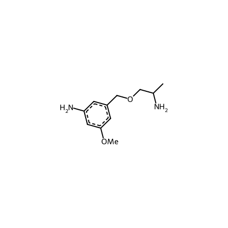 COc1cc(N)cc(COCC(C)N)c1